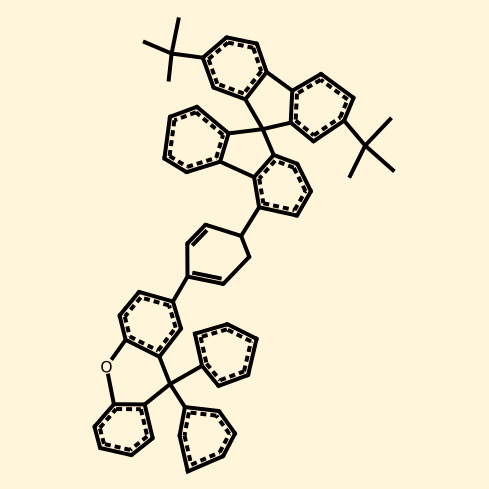 CC(C)(C)c1ccc2c(c1)C1(c3cc(C(C)(C)C)ccc3-2)c2ccccc2-c2c(C3C=CC(c4ccc5c(c4)C(c4ccccc4)(c4ccccc4)c4ccccc4O5)=CC3)cccc21